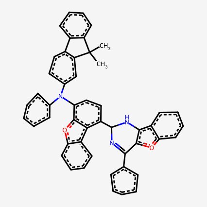 CC1(C)c2ccccc2-c2ccc(N(c3ccccc3)c3ccc(C4N=C(c5ccccc5)c5oc6ccccc6c5N4)c4c3oc3ccccc34)cc21